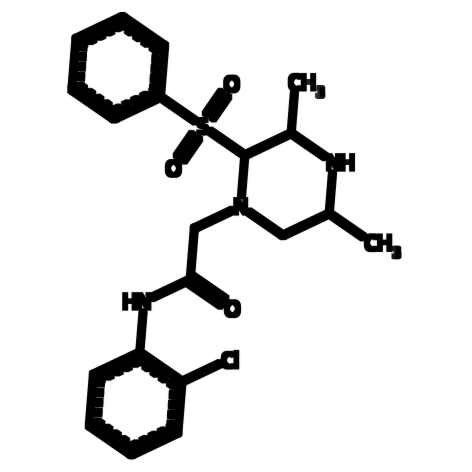 CC1CN(CC(=O)Nc2ccccc2Cl)C(S(=O)(=O)c2ccccc2)C(C)N1